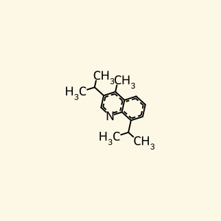 Cc1c(C(C)C)cnc2c(C(C)C)cccc12